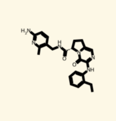 CCc1ccccc1Nc1ncc2n(c1=O)[C@H](C(=O)NCc1ccc(N)nc1C)CC2